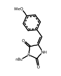 CCCCN1C(=O)NC(=Cc2ccc(OC)cc2)C1=O